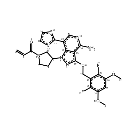 C=CC(=O)N1CCC(n2nc(OCc3c(F)c(OC)cc(OC)c3F)c3c(N)ncc(-c4nccs4)c32)C1